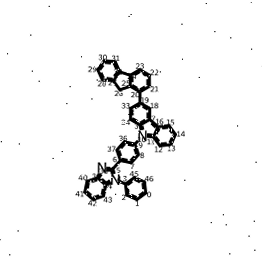 c1ccc(-n2c(-c3ccc(-n4c5ccccc5c5cc(-c6cccc7c6Cc6ccccc6-7)ccc54)cc3)nc3ccccc32)cc1